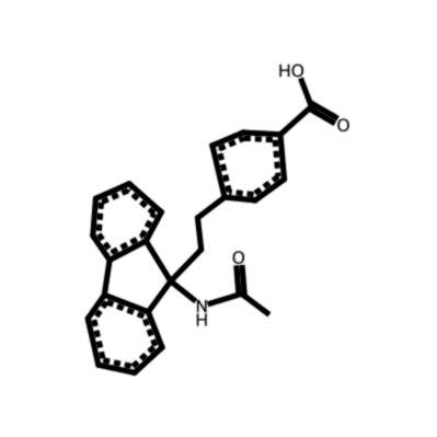 CC(=O)NC1(CCc2ccc(C(=O)O)cc2)c2ccccc2-c2ccccc21